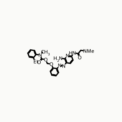 CCc1ccccc1N(C)C(=O)OCOc1ccccc1/N=N/c1ccc(NC(=O)CNC)nc1N